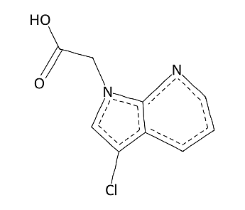 O=C(O)Cn1cc(Cl)c2cccnc21